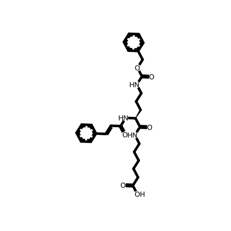 O=C(O)CCCCCNC(=O)[C@H](CCCNC(=O)OCc1ccccc1)NC(=O)/C=C/c1ccccc1